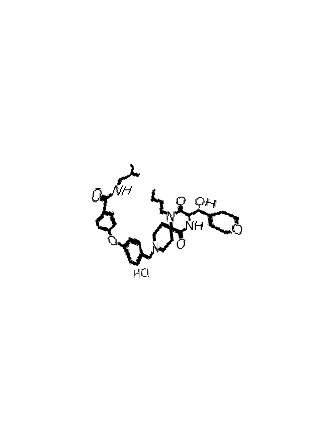 CCCCN1C(=O)[C@@H]([C@H](O)C2CCOCC2)NC(=O)C12CCN(Cc1ccc(Oc3ccc(C(=O)NCC(C)C)cc3)cc1)CC2.Cl